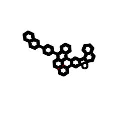 c1ccc(-c2cc3oc4ccc5ccccc5c4c3cc2-c2c3ccccc3c(-c3ccc(-c4ccc5ccccc5c4)cc3)c3ccccc23)cc1